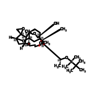 CC1CC[C@@]23COC[C@@H](O)[C@H](C)CCO[C@@H]([C@@H](C)O[Si](C)(C)C(C)(C)C)CCCCCO[C@@H]4C[C@@H](O[C@@H]2C1)[C@@]1(CO1)[C@]43C